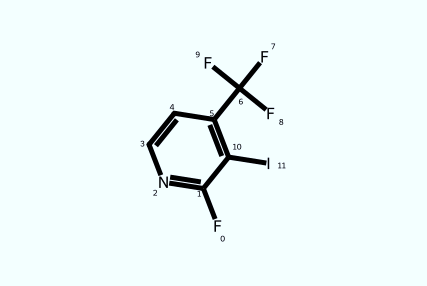 Fc1nccc(C(F)(F)F)c1I